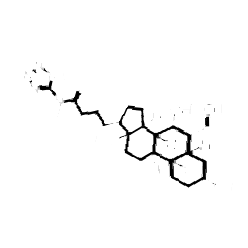 CC[C@H]1[C@@H](O)[C@@H]2[C@H](CC[C@]3(C)[C@@H](CCCC(=O)Nc4nnn[nH]4)CC[C@@H]23)[C@@]2(C)CC[C@@H](O)C[C@@H]12